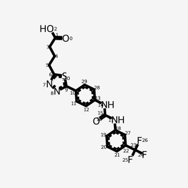 O=C(O)CCCc1nnc(-c2ccc(NC(=O)Nc3cccc(C(F)(F)F)c3)cc2)s1